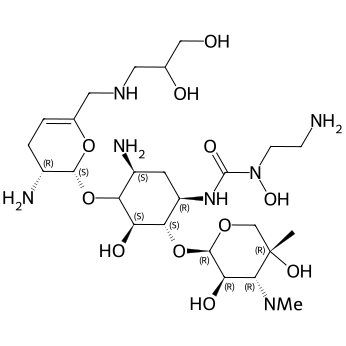 CN[C@@H]1[C@@H](O)[C@@H](O[C@H]2[C@H](NC(=O)N(O)CCN)C[C@H](N)C(O[C@H]3OC(CNCC(O)CO)=CC[C@H]3N)[C@@H]2O)OC[C@]1(C)O